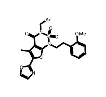 COc1ccccc1CCN1c2sc(-c3ncco3)c(C)c2C(=O)N(CC(C)=O)S1(=O)=O